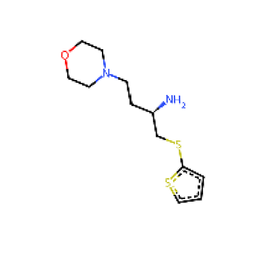 N[C@H](CCN1CCOCC1)CSc1cccs1